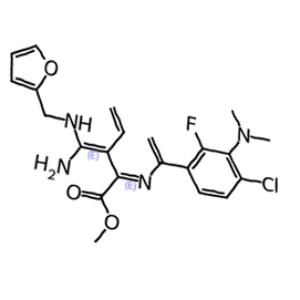 C=CC(/C(=N\C(=C)c1ccc(Cl)c(N(C)C)c1F)C(=O)OC)=C(/N)NCc1ccco1